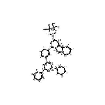 CC1(C)OB(c2cc(-c3cccc(-c4nc(-c5ccccc5)nc(-c5ccccc5)n4)c3)c3oc4ccccc4c3c2)OC1(C)C